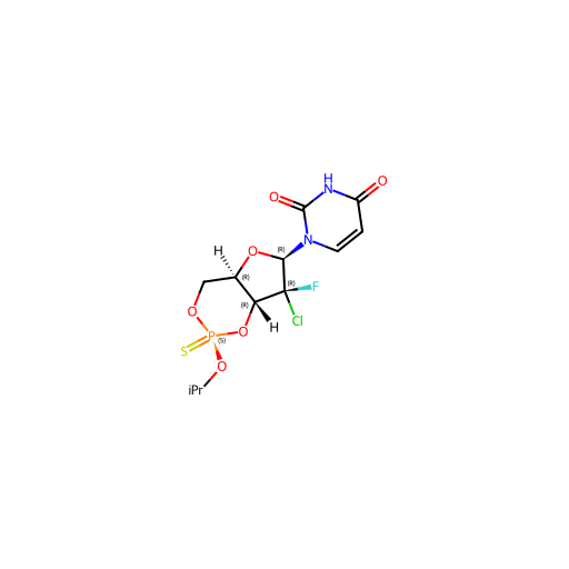 CC(C)O[P@@]1(=S)OC[C@H]2O[C@@H](n3ccc(=O)[nH]c3=O)[C@](F)(Cl)[C@@H]2O1